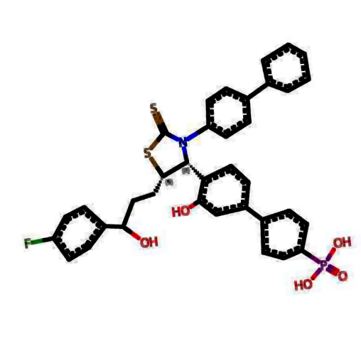 O=P(O)(O)c1ccc(-c2ccc([C@@H]3[C@H](CCC(O)c4ccc(F)cc4)SC(=S)N3c3ccc(-c4ccccc4)cc3)c(O)c2)cc1